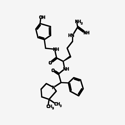 CC1(C)CCCN(C(C(=O)N[C@H](CCCNC(=N)N)C(=O)NCc2ccc(O)cc2)c2ccccc2)C1